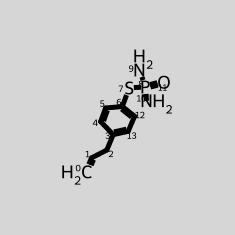 C=CCc1ccc(SP(N)(N)=O)cc1